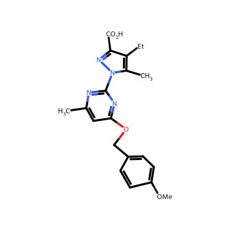 CCc1c(C(=O)O)nn(-c2nc(C)cc(OCc3ccc(OC)cc3)n2)c1C